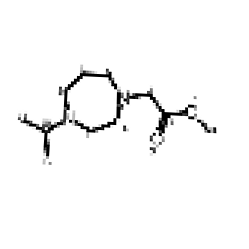 COC(=O)CN1CCCN(C(C)C)CC1